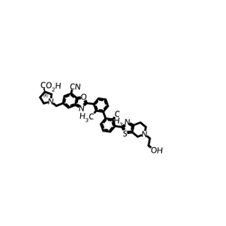 Cc1c(-c2nc3cc(CN4CC[C@@H](C(=O)O)C4)cc(C#N)c3o2)cccc1-c1cccc(-c2nc3c(s2)CN(CCO)CC3)c1C